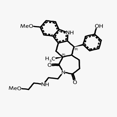 COCCNCCN1C(=O)CCC2[C@H](c3cccc(O)c3)c3[nH]c4ccc(OC)cc4c3C[C@@]2(C)C1=O